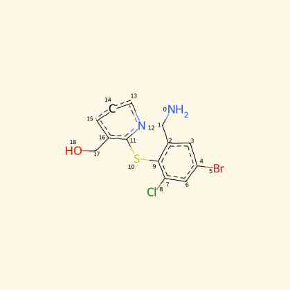 NCc1cc(Br)cc(Cl)c1Sc1ncccc1CO